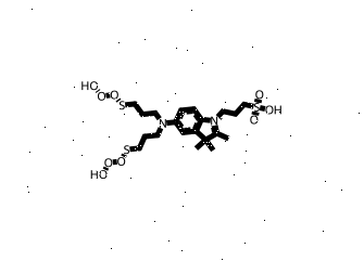 CC1=[N+](CCCS(=O)(=O)O)c2ccc(N(CCCSOOO)CCCSOOO)cc2C1(C)C